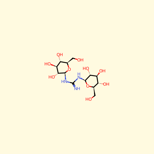 N=C(N[C@@H]1O[C@H](CO)[C@@H](O)[C@H](O)[C@H]1O)N[C@@H]1O[C@H](CO)[C@@H](O)[C@H](O)[C@H]1O